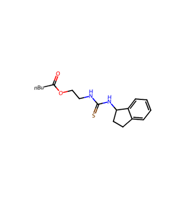 CCCCC(=O)OCCNC(=S)NC1CCc2ccccc21